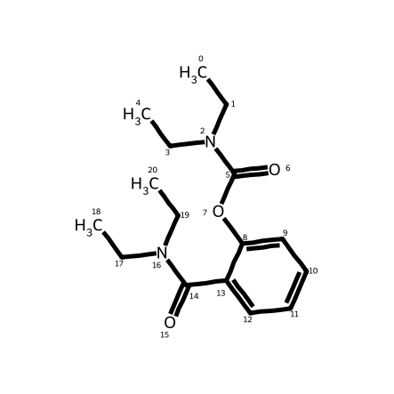 CCN(CC)C(=O)Oc1ccccc1C(=O)N(CC)CC